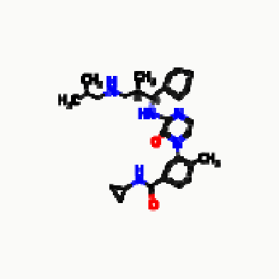 Cc1ccc(C(=O)NC2CC2)cc1-n1ccnc(N[C@@H](c2ccccc2)[C@H](C)CNCC(C)C)c1=O